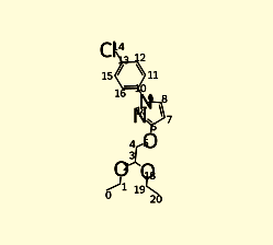 CCOC(COc1ccn(-c2ccc(Cl)cc2)n1)OCC